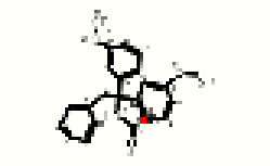 CC(C)COC(=O)NC(Cc1ccccc1)(c1cccc(OC(F)(F)F)c1)c1cccc(OC(F)(F)F)c1